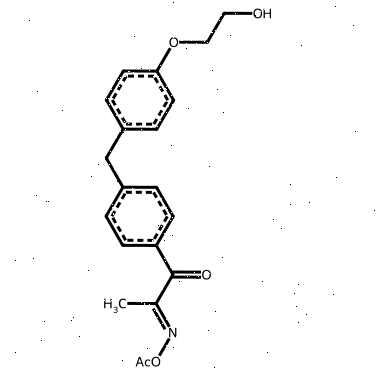 CC(=O)O/N=C(\C)C(=O)c1ccc(Cc2ccc(OCCO)cc2)cc1